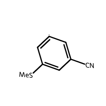 CSc1c[c]cc(C#N)c1